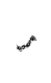 CC(C)(C)OC(=O)N1CC=C(c2ccc3nc(-c4ccc(S(C)(=O)=O)cc4)cn3c2)CC1